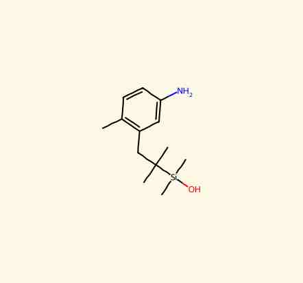 Cc1ccc(N)cc1CC(C)(C)[Si](C)(C)O